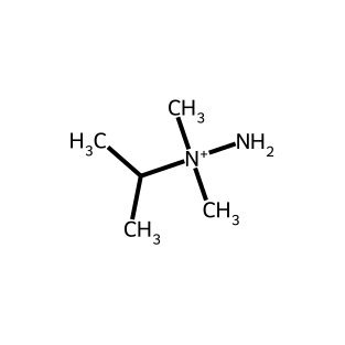 CC(C)[N+](C)(C)N